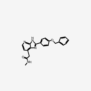 CNC(=O)Cc1ccnc2[nH]c(-c3ccc(OCc4ccccc4)cc3)nc12